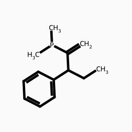 C=C(C(CC)c1ccccc1)P(C)C